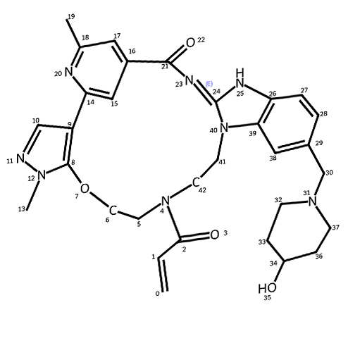 C=CC(=O)N1CCOc2c(cnn2C)-c2cc(cc(C)n2)C(=O)/N=C2\Nc3ccc(CN4CCC(O)CC4)cc3N2CC1